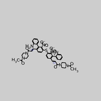 CC(=O)N1CCN(C(=O)/C=C/c2ccc(Sc3ccc(/C=C/C(=O)N4CCN(C(C)=O)CC4)c(-c4ccccc4N)c3[N+](=O)[O-])c([N+](=O)[O-])c2-c2ccccc2N)CC1